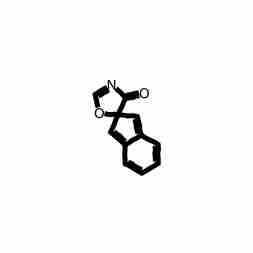 O=C1N=COC12C=c1ccccc1=C2